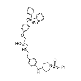 CC(C)NC(=O)N1CCC(Nc2ccc(CCNC[C@H](O)COc3ccc(O[Si](c4ccccc4)(c4ccccc4)C(C)(C)C)cc3)cc2)CC1